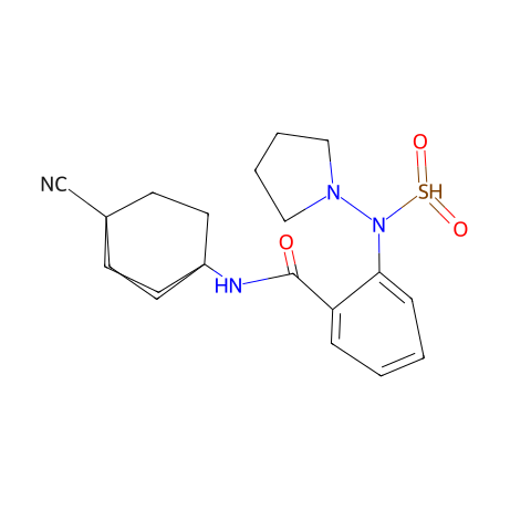 N#CC12CCC(NC(=O)c3ccccc3N(N3CCCC3)[SH](=O)=O)(CC1)CC2